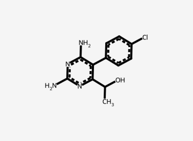 CC(O)c1nc(N)nc(N)c1-c1ccc(Cl)cc1